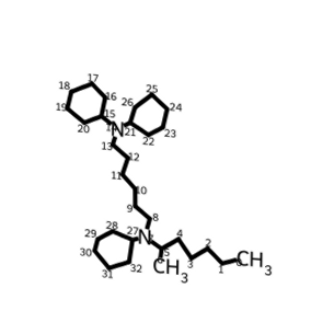 CCCCCC(C)N(CCCCCCN(C1CCCCC1)C1CCCCC1)C1CCCCC1